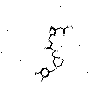 NC(=O)Cc1csc(SCC(=O)NCC2CN(Cc3ccc(F)c(F)c3)CCO2)n1